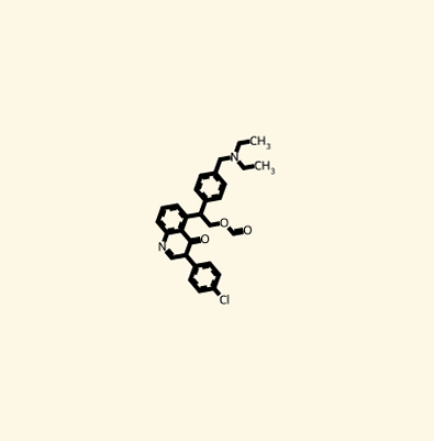 CCN(CC)Cc1ccc(C(COC=O)c2cccc3c2C(=O)C(c2ccc(Cl)cc2)C=N3)cc1